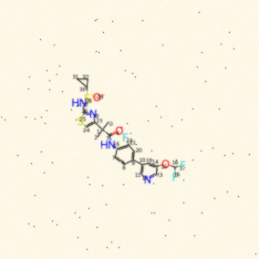 CC(C)(C(=O)Nc1ccc(-c2cncc(OC(F)F)c2)cc1F)c1csc(N[S+]([O-])C2CC2)n1